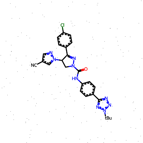 CC(C)(C)n1nnc(-c2ccc(NC(=O)N3CC(n4cc(C#N)cn4)C(c4ccc(Cl)cc4)=N3)cc2)n1